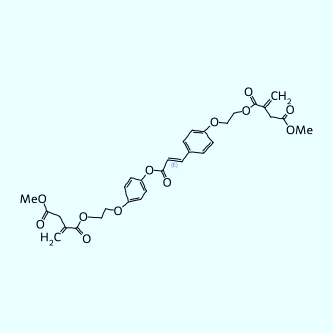 C=C(CC(=O)OC)C(=O)OCCOc1ccc(/C=C/C(=O)Oc2ccc(OCCOC(=O)C(=C)CC(=O)OC)cc2)cc1